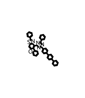 c1ccc(-c2ccc(-c3ccc(-c4nc(-c5ccccc5)nc(-c5c6nc(-c7ccccc7)sc6cc6oc7ccccc7c56)n4)cc3)cc2)cc1